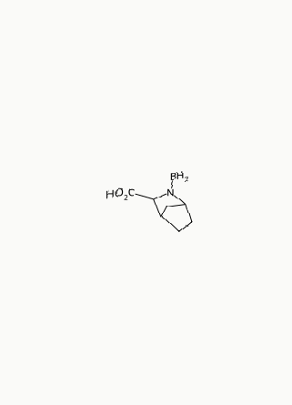 BN1C2CCC(C2)C1C(=O)O